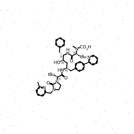 Cc1cccc(CN2CCN([C@H](C(=O)N[C@H](Cc3ccc(-c4ccccn4)cc3)C[C@@H](O)[C@H](Cc3ccccc3)NC(=O)[C@@H](N(C)C(=O)O)C(C)(C)C)C(C)(C)C)C2=O)n1